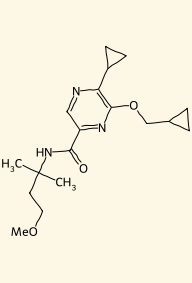 COCCC(C)(C)NC(=O)c1cnc(C2CC2)c(OCC2CC2)n1